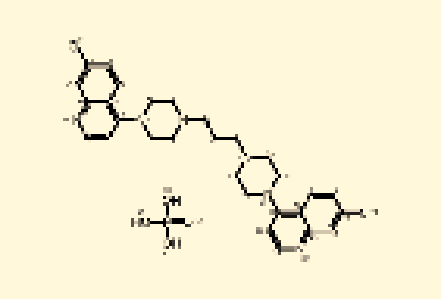 Clc1ccc2c(N3CCN(CCCN4CCN(c5ccnc6cc(Cl)ccc56)CC4)CC3)ccnc2c1.O=P(O)(O)O